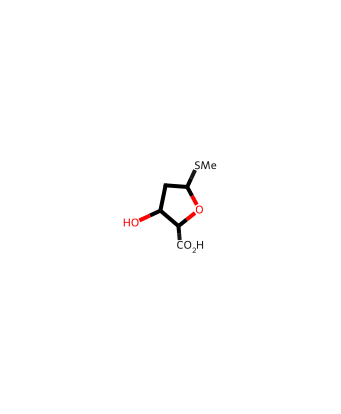 CSC1CC(O)C(C(=O)O)O1